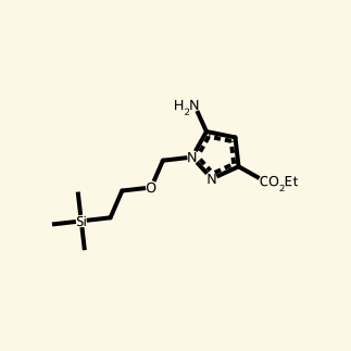 CCOC(=O)c1cc(N)n(COCC[Si](C)(C)C)n1